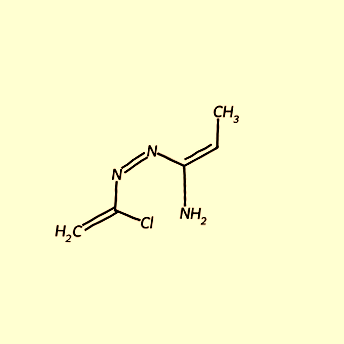 C=C(Cl)/N=N\C(N)=C/C